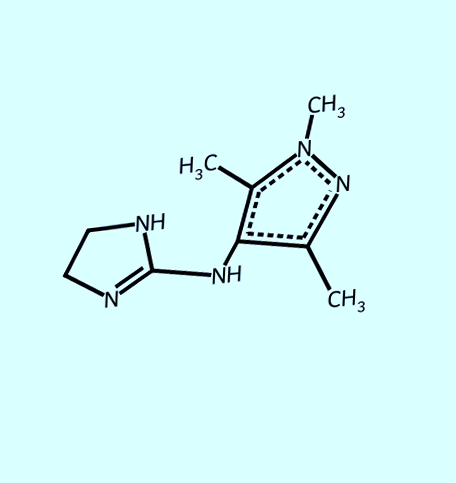 Cc1nn(C)c(C)c1NC1=NCCN1